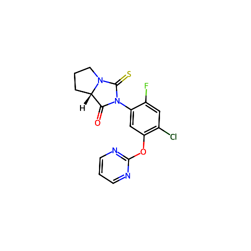 O=C1[C@@H]2CCCN2C(=S)N1c1cc(Oc2ncccn2)c(Cl)cc1F